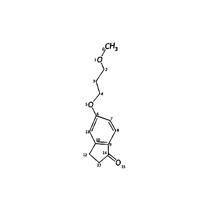 COCCCOc1ccc2c(c1)CCC2=O